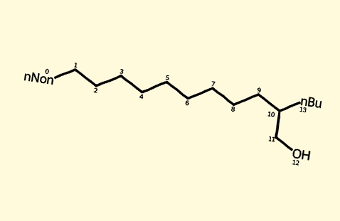 CCCCCCCCCCCCCCCCCCC(CO)CCCC